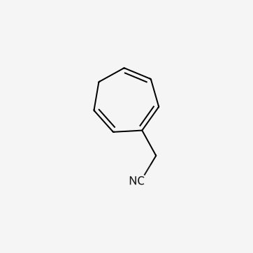 N#CCC1=CC=CCC=C1